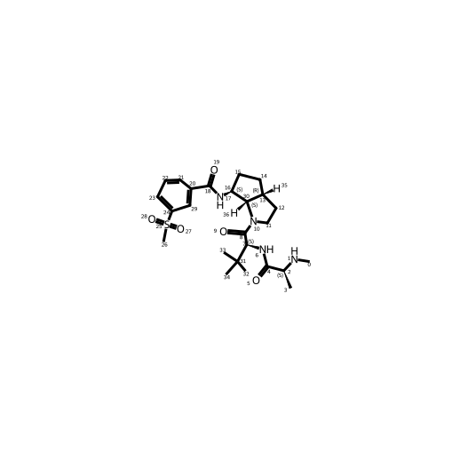 CN[C@@H](C)C(=O)N[C@H](C(=O)N1CC[C@H]2CC[C@H](NC(=O)c3cccc(S(C)(=O)=O)c3)[C@H]21)C(C)(C)C